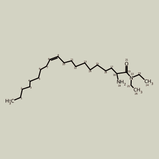 CCCCCCCC/C=C\CCCCCCCCC(N)C(=O)N(CC)CC